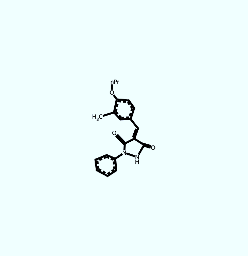 CCCOc1ccc(C=C2C(=O)NN(c3ccccc3)C2=O)cc1C